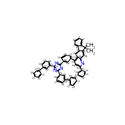 CC1(C)c2ccccc2-c2cc3c(-c4cccc(-c5nc(-c6cccc(-c7ccccc7)c6)nc(-c6cccc(-c7ccccc7)c6)n5)c4)cc(-c4ccccc4)nc3cc21